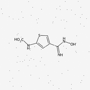 N=C(NO)c1csc(NC(=O)O)c1